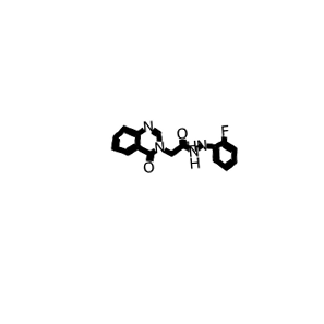 O=C(Cn1cnc2ccccc2c1=O)NNc1ccccc1F